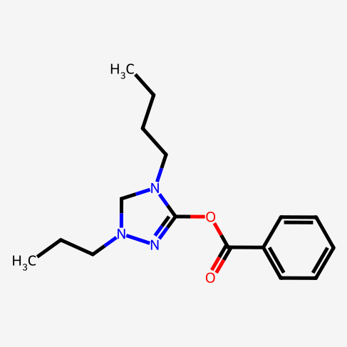 CCCCN1CN(CCC)N=C1OC(=O)c1ccccc1